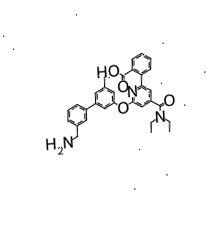 CCN(CC)C(=O)c1cc(Oc2cc(C)cc(-c3cccc(CN)c3)c2)nc(-c2ccccc2C(=O)O)c1